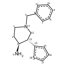 N[C@H]1CCN(Cc2ccccc2)C[C@@H]1c1cccs1